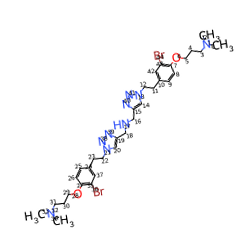 CN(C)CCCOc1ccc(CCn2cc(CNCc3cn(CCc4ccc(OCCCN(C)C)c(Br)c4)nn3)nn2)cc1Br